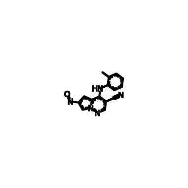 Cc1ccccc1Nc1c(C#N)cnn2cc(N=O)cc12